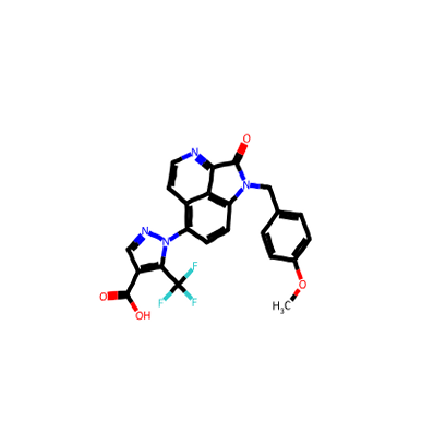 COc1ccc(CN2C(=O)c3nccc4c(-n5ncc(C(=O)O)c5C(F)(F)F)ccc2c34)cc1